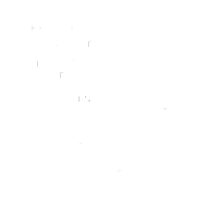 O=C(Nc1cc(F)c(F)c(F)c1F)C(F)(F)C(F)(F)C(F)(F)F